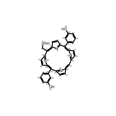 CCCCCCCCCCCC1=C2C=CC(=N2)C(c2cccc(O)c2)=C2C=CC(=N2)C=C2C=CC(=N2)C(c2cccc(O)c2)=C2C=CC1=N2